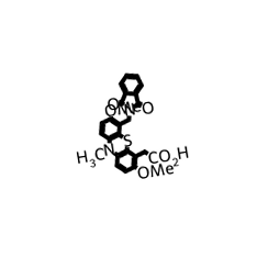 COc1ccc2c(c1CC(=O)O)Sc1c(ccc(OC)c1CN1C(=O)c3ccccc3C1=O)N2C